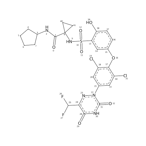 O=C(NC1CCCC1)C1(NS(=O)(=O)c2cc(Oc3c(Cl)cc(-n4nc(C(F)F)c(=O)[nH]c4=O)cc3Cl)ccc2O)CC1